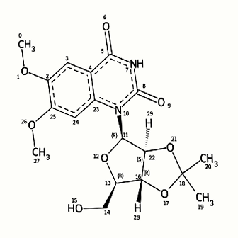 COc1cc2c(=O)[nH]c(=O)n([C@@H]3O[C@H](CO)[C@H]4OC(C)(C)O[C@@H]43)c2cc1OC